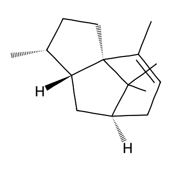 CC1=CC[C@H]2C[C@@H]3[C@H](C)CC[C@@]13C2(C)C